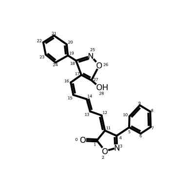 O=C1ON=C(c2ccccc2)/C1=C/C=C/C=C\c1c(-c2ccccc2)noc1O